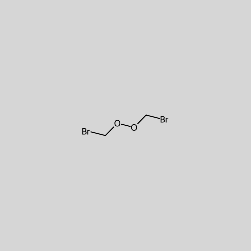 BrCOOCBr